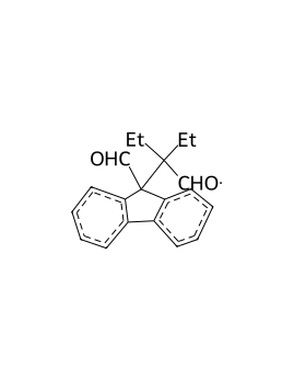 CCC([C]=O)(CC)C1(C=O)c2ccccc2-c2ccccc21